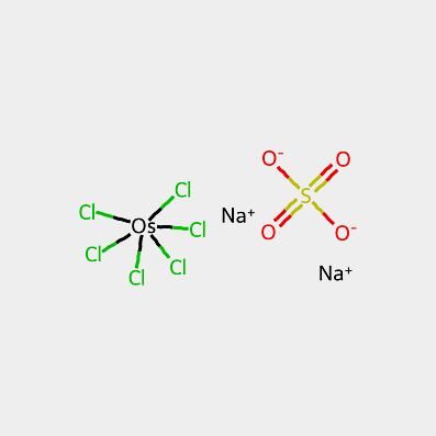 O=S(=O)([O-])[O-].[Cl][Os]([Cl])([Cl])([Cl])([Cl])[Cl].[Na+].[Na+]